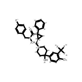 CN(Cc1ccc(F)cc1)C(=O)[C@@]1(c2ccccc2)C[C@H]1CN1CCC(O)(c2ccc(Cl)c(C(F)(F)F)c2)CC1